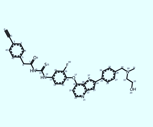 C#Cc1ccc(CC(=O)NC(=S)Nc2ccc(Oc3ccnc4cc(-c5ccc(CN(C)CCO)cc5)sc34)c(F)c2)cc1